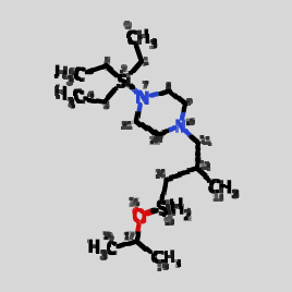 CC[Si](CC)(CC)N1CCN(CC(C)C[SiH2]OC(C)C)CC1